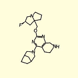 F[C@H]1CN2CCCC2(COc2nc3c(c(N4CC5CCC(C5)C4)n2)CCNC3)C1